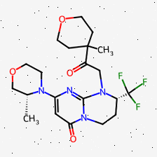 C[C@@H]1COCCN1c1cc(=O)n2c(n1)N(CC(=O)C1(C)CCOCC1)[C@H](C(F)(F)F)CC2